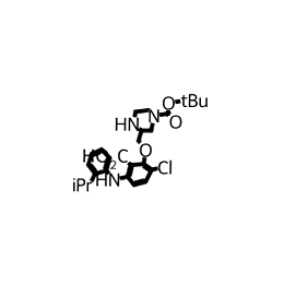 CC(C)c1ccccc1Nc1ccc(Cl)c(OCC2CN(C(=O)OC(C)(C)C)CCN2)c1C(=O)O